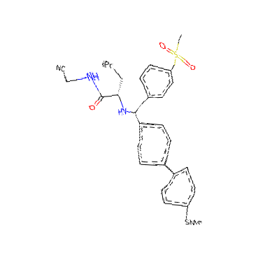 CSc1ccc(-c2ccc(C(N[C@@H](CC(C)C)C(=O)NCC#N)c3ccc(S(C)(=O)=O)cc3)cc2)cc1